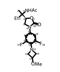 CCC(C)(NC(C)=O)[C@@H]1CN(c2cc(F)c(N3CC(OC)C3)c(F)c2)C(=O)O1